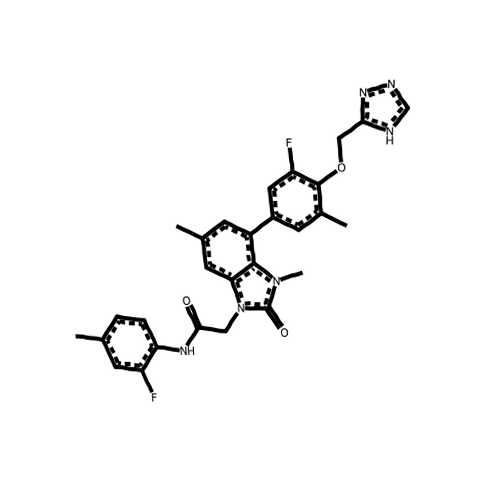 Cc1ccc(NC(=O)Cn2c(=O)n(C)c3c(-c4cc(C)c(OCc5nnc[nH]5)c(F)c4)cc(C)cc32)c(F)c1